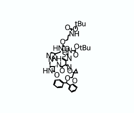 CC(C)(C)OC(=O)NCCOC(=O)NCc1cnn(C[C@@H]2NC(=O)[C@H]2NC(=O)C(=NOC2(C(=O)OC(c3ccccc3)c3ccccc3)CC2)c2csc(NC(=O)OC(C)(C)C)n2)n1